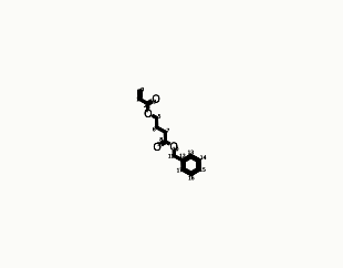 C=CC(=O)OCCCC(=O)OCc1ccccc1